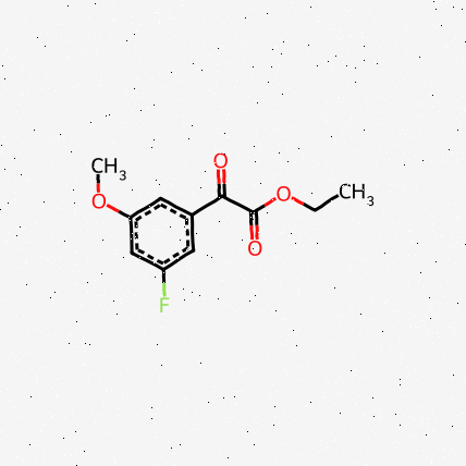 CCOC(=O)C(=O)c1cc(F)cc(OC)c1